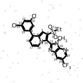 CCS(=O)(=O)c1cc2c(-c3cc(Cl)cc(Cl)c3)cccn2c1-c1nc2cc(C(F)(F)F)cnc2n1C